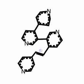 C(=C\c1ccncc1-c1cnccc1-c1ccncc1)/c1ccncc1